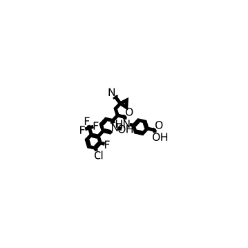 N#CC1(CC(C(=O)Nc2ccc(C(=O)O)cc2)c2ccc(-c3c(C(F)(F)F)ccc(Cl)c3F)c[n+]2O)CC1